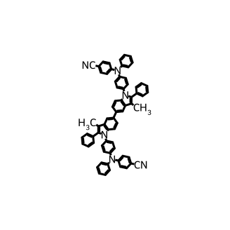 Cc1c(-c2ccccc2)n(-c2ccc(N(c3ccccc3)c3ccc(C#N)cc3)cc2)c2ccc(-c3ccc4c(c3)c(C)c(-c3ccccc3)n4-c3ccc(N(c4ccccc4)c4ccc(C#N)cc4)cc3)cc12